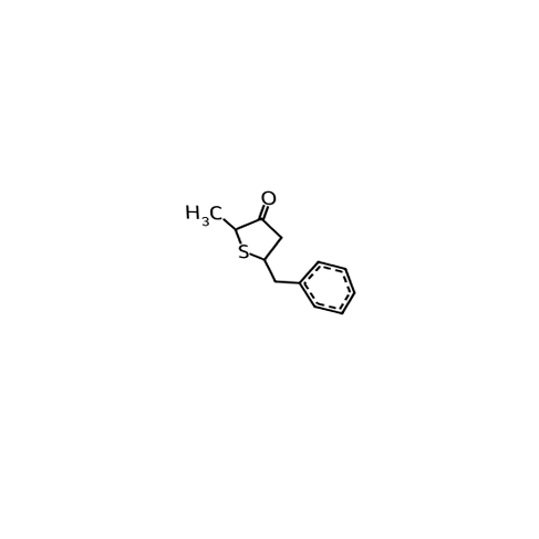 CC1SC(Cc2ccccc2)CC1=O